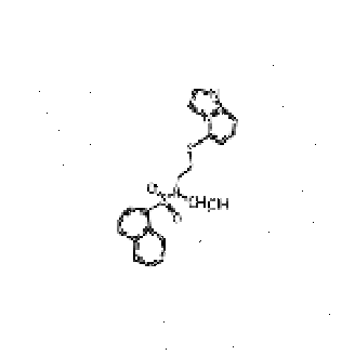 CN(CCSc1cccc2nccn12)S(=O)(=O)c1cccc2ccccc12.Cl